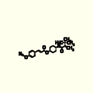 C=C(C(=O)NC1CCC(OC(=O)/C=C/c2ccc(OC#N)cc2)CC1)C(C)(C)C